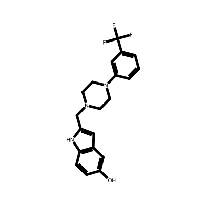 Oc1ccc2[nH]c(CN3CCN(c4cccc(C(F)(F)F)c4)CC3)cc2c1